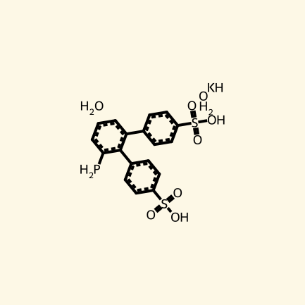 O.O.O=S(=O)(O)c1ccc(-c2cccc(P)c2-c2ccc(S(=O)(=O)O)cc2)cc1.[KH]